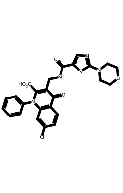 O=C(NCc1c(C(=O)O)n(-c2ccccc2)c2cc(Cl)ccc2c1=O)c1cnc(N2CCOCC2)s1